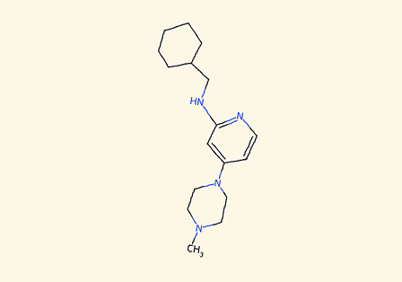 CN1CCN(c2ccnc(NCC3CCCCC3)c2)CC1